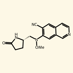 CON(C[C@@H]1CCC(=O)N1)c1cc2cnccc2cc1C#N